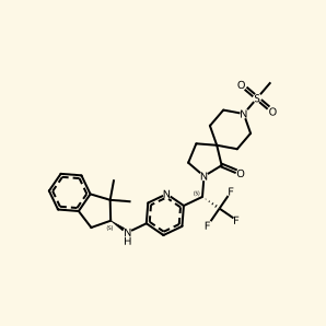 CC1(C)c2ccccc2C[C@@H]1Nc1ccc([C@H](N2CCC3(CCN(S(C)(=O)=O)CC3)C2=O)C(F)(F)F)nc1